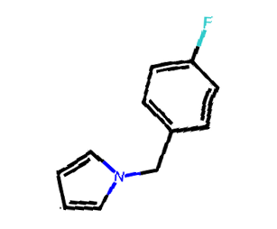 Fc1ccc(Cn2c[c]cc2)cc1